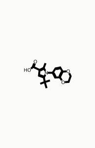 Cc1c(C(=O)O)cc(C(C)(C)C)n1-c1ccc2c(c1)OCCO2